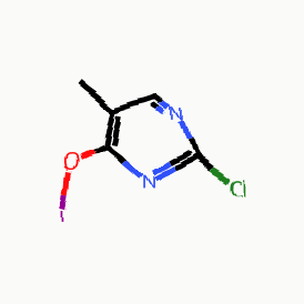 Cc1cnc(Cl)nc1OI